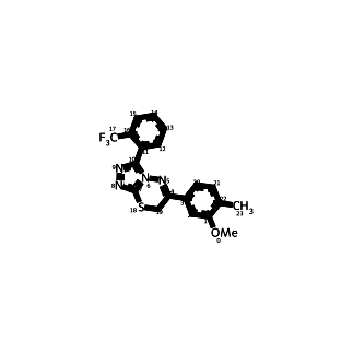 COc1cc(C2=Nn3c(nnc3-c3ccccc3C(F)(F)F)SC2)ccc1C